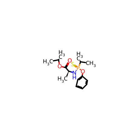 CC(C)OC(=O)[C@H](C)N[P@](=S)(Oc1ccccc1)C(C)C